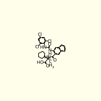 C[C@@](NC(=O)c1cc2ccccc2cc1NC(=O)Nc1c(Cl)cc(Cl)cc1Cl)(C(=O)O)C1CCCCC1